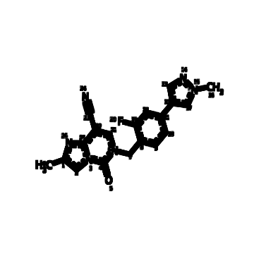 Cc1cn2c(=O)n(Cc3ccc(-c4cnn(C)c4)cc3F)cc(C#N)c2n1